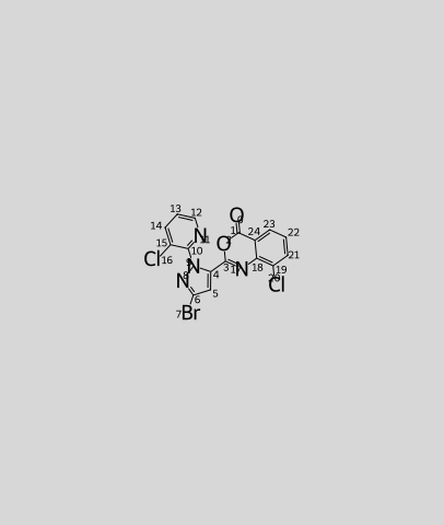 O=c1oc(-c2cc(Br)nn2-c2ncccc2Cl)nc2c(Cl)cccc12